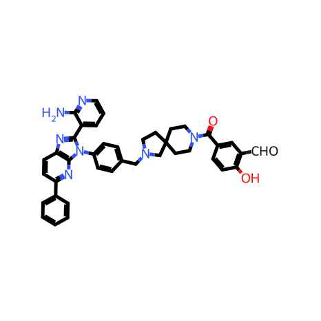 Nc1ncccc1-c1nc2ccc(-c3ccccc3)nc2n1-c1ccc(CN2CCC3(CCN(C(=O)c4ccc(O)c(C=O)c4)CC3)C2)cc1